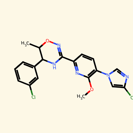 COc1nc(C2=NOC(C)C(c3cccc(Cl)c3)N2)ccc1-n1cnc(Cl)c1